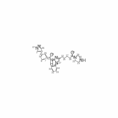 Cn1cc(-c2cccc(C(=O)Nc3nc(CCCCC(=O)N4CCNCC4)cn3-c3ccccc3)c2)cn1